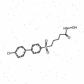 O=C(CCCCS(=O)(=O)c1ccc(-c2ccc(Cl)cc2)cc1)NO